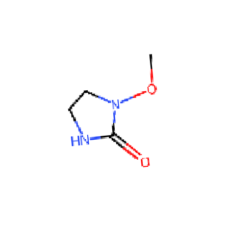 CON1CCNC1=O